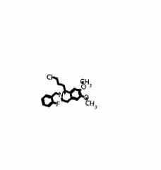 COc1cc2c(cc1OC)C(CCCCl)=[N+](Cc1ccccc1F)CC2